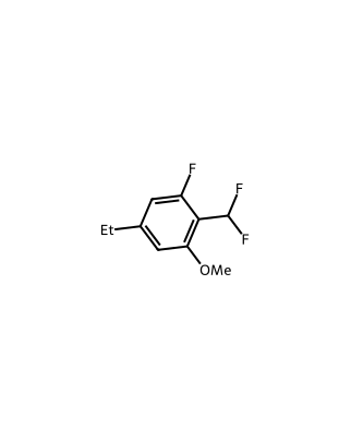 [CH2]Cc1cc(F)c(C(F)F)c(OC)c1